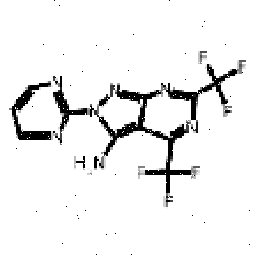 Nc1c2c(C(F)(F)F)nc(C(F)(F)F)nc2nn1-c1ncccn1